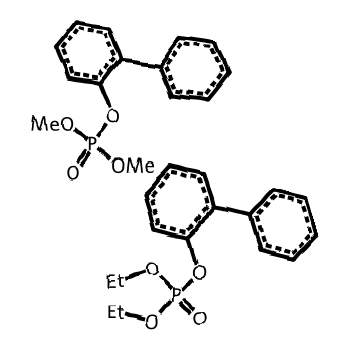 CCOP(=O)(OCC)Oc1ccccc1-c1ccccc1.COP(=O)(OC)Oc1ccccc1-c1ccccc1